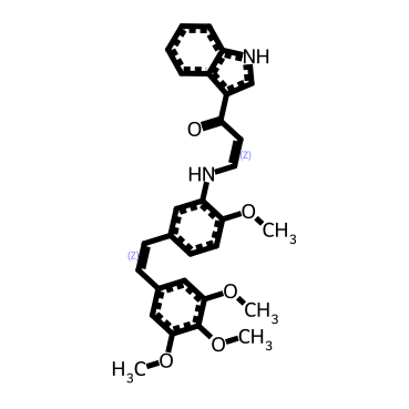 COc1ccc(/C=C\c2cc(OC)c(OC)c(OC)c2)cc1N/C=C\C(=O)c1c[nH]c2ccccc12